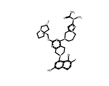 CCc1c(F)ccc2cc(O)cc(N3CCc4c(nc(OC[C@@]56CCCN5C[C@H](F)C6)nc4N4CCCn5nc(N(C)C(N)=O)cc5C4)C3)c12